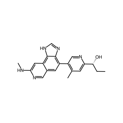 CC[C@@H](O)c1cc(C)c(-c2cc3cnc(NC)cc3c3[nH]cnc23)cn1